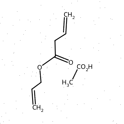 C=CCOC(=O)CC=C.CC(=O)O